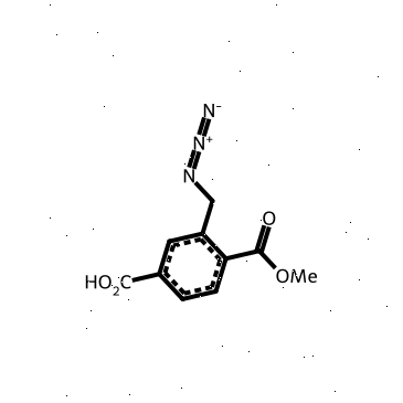 COC(=O)c1ccc(C(=O)O)cc1CN=[N+]=[N-]